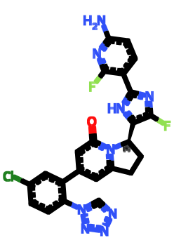 Nc1ccc(-c2nc(F)c([C@H]3CCc4cc(-c5cc(Cl)ccc5-n5cnnn5)cc(=O)n43)[nH]2)c(F)n1